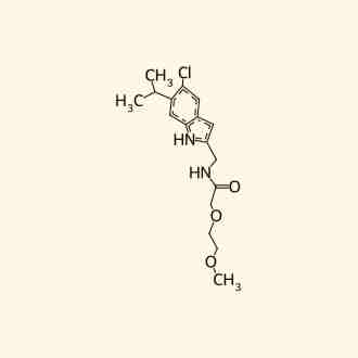 COCCOCC(=O)NCc1cc2cc(Cl)c(C(C)C)cc2[nH]1